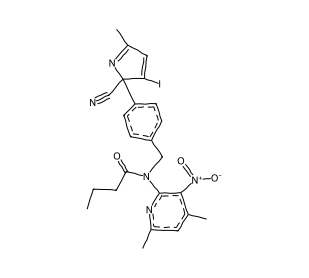 CCCC(=O)N(Cc1ccc(C2(C#N)N=C(C)C=C2I)cc1)c1nc(C)cc(C)c1[N+](=O)[O-]